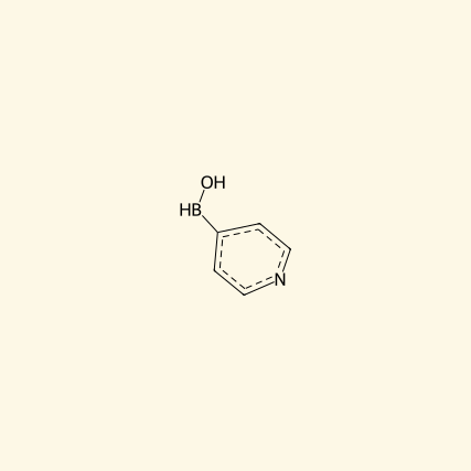 OBc1ccncc1